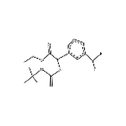 C=C(NC(C(=O)OCC)c1cccc(C(F)F)c1)OC(C)(C)C